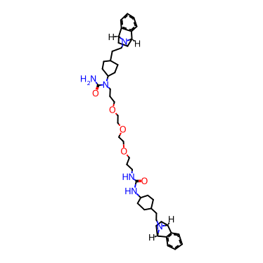 NC(=O)N(CCCOCCOCCOCCCNC(=O)NC1CCC(CCN2[C@@H]3CC[C@H]2c2ccccc23)CC1)C1CCC(CCN2[C@@H]3CC[C@H]2c2ccccc23)CC1